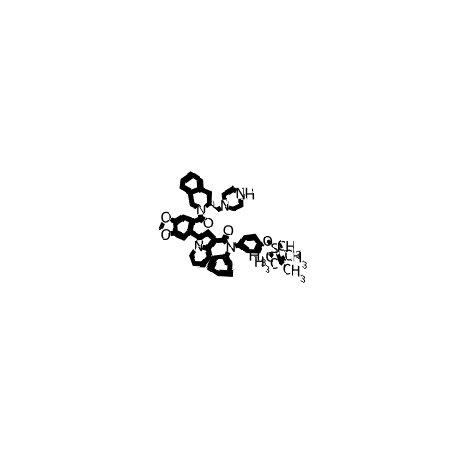 CC(C)(C)[Si](C)(C)Oc1ccc(N(C(=O)c2cc(-c3cc4c(cc3C(=O)N3Cc5ccccc5C[C@H]3CN3CCNCC3)OCO4)n3c2CCCC3)c2ccccc2)cc1